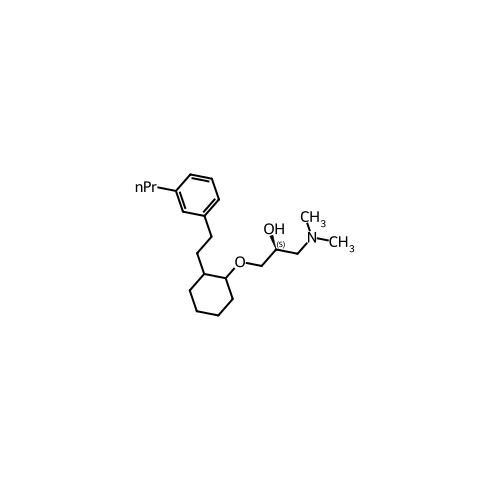 CCCc1cccc(CCC2CCCCC2OC[C@@H](O)CN(C)C)c1